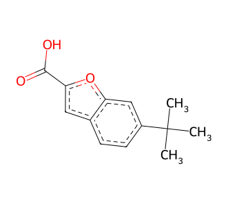 CC(C)(C)c1ccc2cc(C(=O)O)oc2c1